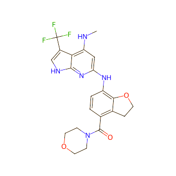 CNc1cc(Nc2ccc(C(=O)N3CCOCC3)c3c2OCC3)nc2[nH]cc(C(F)(F)F)c12